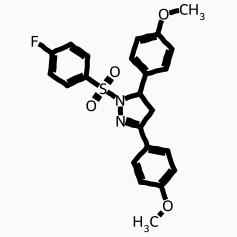 COc1ccc(C2=NN(S(=O)(=O)c3ccc(F)cc3)C(c3ccc(OC)cc3)C2)cc1